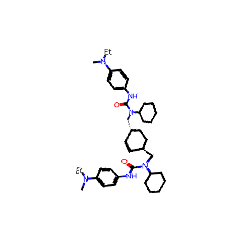 CCN(C)c1ccc(NC(=O)N(C[C@H]2CC[C@H](CN(C(=O)Nc3ccc(N(C)CC)cc3)C3CCCCC3)CC2)C2CCCCC2)cc1